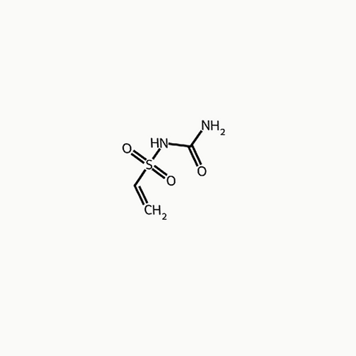 C=CS(=O)(=O)NC(N)=O